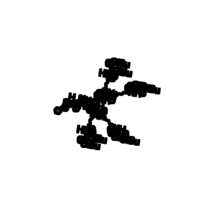 CC(C)COC(=O)CCC(NC(=O)CCCCCNC(=O)CCC(NC(=O)CCC(NC(=O)C(N)CCC(=O)NCC(=O)OCc1ccccc1)C(O)NC(CCC(=O)NCCCCCC(=O)NC(CCC(=O)OCC(C)C)C(=O)OCC(C)C)C(=O)NCCCCCC(=O)NC(CCC(=O)OCC(C)C)C(=O)OCC(C)C)C(=O)NCCCCCC(=O)NC(CCC(=O)OCC(C)C)C(=O)OCC(C)C)C(=O)OCC(C)C